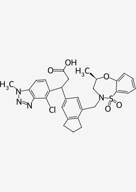 C[C@@H]1CN(Cc2cc(C(CC(=O)O)c3ccc4c(nnn4C)c3Cl)cc3c2CCC3)S(=O)(=O)c2ccccc2O1